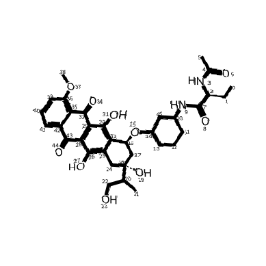 CC[C@H](NC(C)=O)C(=O)NC1CCCC(O[C@H]2C[C@@](O)(C(C)CO)Cc3c(O)c4c(c(O)c32)C(=O)c2c(OC)cccc2C4=O)C1